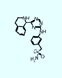 NS(=O)(=O)Cc1cccc(Nc2ncnc(C3NCCc4ccccc43)n2)c1